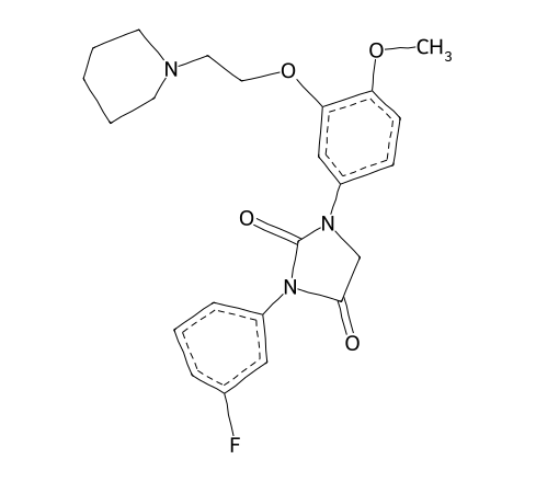 COc1ccc(N2CC(=O)N(c3cccc(F)c3)C2=O)cc1OCCN1CCCCC1